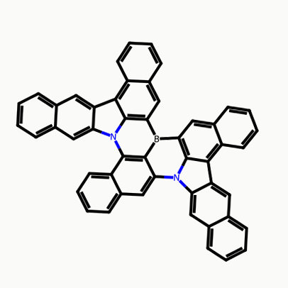 c1ccc2cc3c(cc2c1)c1c2ccccc2cc2c1n3-c1cc3ccccc3c3c1B2c1cc2ccccc2c2c4cc5ccccc5cc4n-3c12